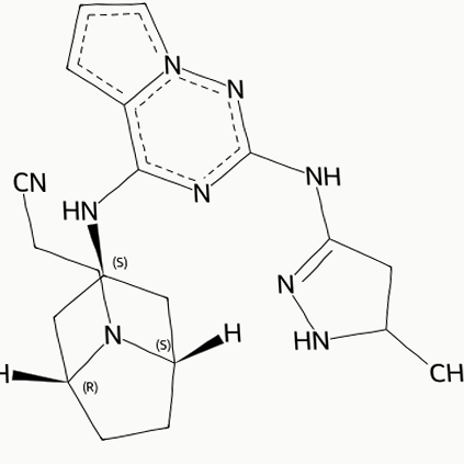 CC1CC(Nc2nc(N[C@@H]3C[C@H]4CC[C@@H](C3)N4CCC#N)c3cccn3n2)=NN1